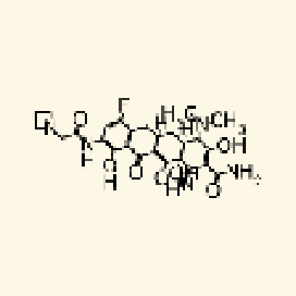 [H]/N=C1/C(C(N)=O)=C(O)[C@@H](N(C)C)[C@@H]2C[C@@H]3Cc4c(F)cc(NC(=O)CN5CCC5)c(O)c4C(=O)C3=C(O)[C@]12O